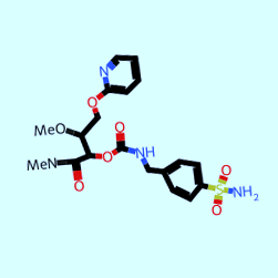 CNC(=O)C(OC(=O)NCc1ccc(S(N)(=O)=O)cc1)C(COc1ccccn1)OC